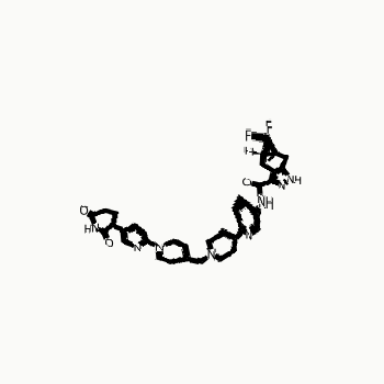 C[C@@]12Cc3[nH]nc(C(=O)Nc4ccc(C5CCN(CC6CCN(c7ccc(C8CCC(=O)NC8=O)cn7)CC6)CC5)nc4)c3C[C@@H]1C2(F)F